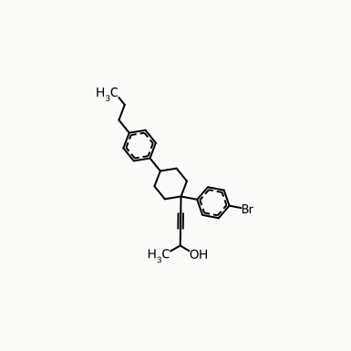 CCCc1ccc(C2CCC(C#CC(C)O)(c3ccc(Br)cc3)CC2)cc1